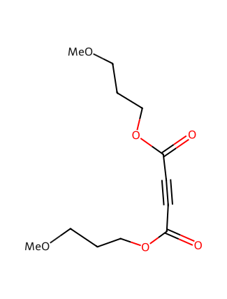 COCCCOC(=O)C#CC(=O)OCCCOC